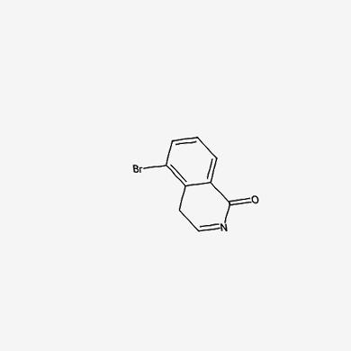 O=C1N=CCc2c(Br)cccc21